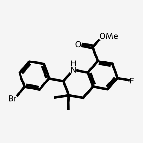 COC(=O)c1cc(F)cc2c1NC(c1cccc(Br)c1)C(C)(C)C2